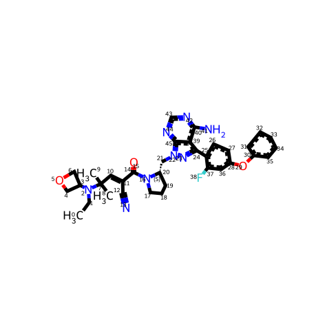 CCN(C1COC1)C(C)(C)C=C(C#N)C(=O)N1CCC[C@H]1Cn1nc(-c2ccc(Oc3ccccc3)cc2F)c2c(N)ncnc21